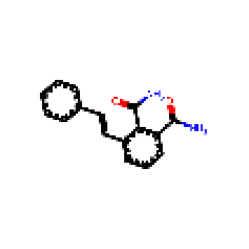 NC(=O)c1cccc(C=Cc2ccccc2)c1C(N)=O